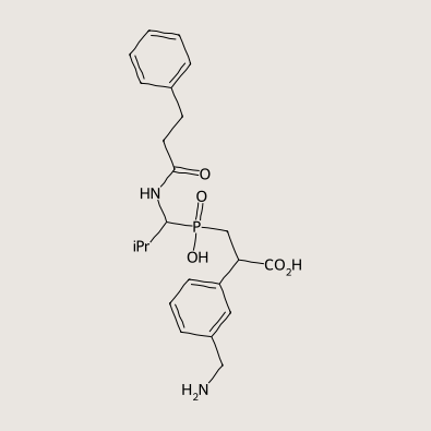 CC(C)C(NC(=O)CCc1ccccc1)P(=O)(O)CC(C(=O)O)c1cccc(CN)c1